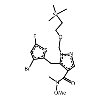 CON(C)C(=O)c1cnn(COCC[Si](C)(C)C)c1Cc1sc(F)cc1Br